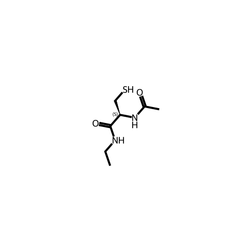 CCNC(=O)[C@@H](CS)NC(C)=O